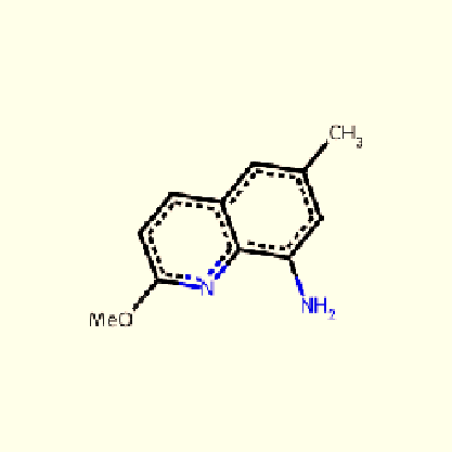 COc1ccc2cc(C)cc(N)c2n1